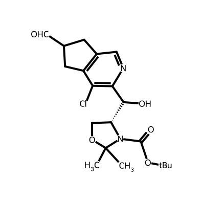 CC(C)(C)OC(=O)N1[C@@H](C(O)c2ncc3c(c2Cl)CC(C=O)C3)COC1(C)C